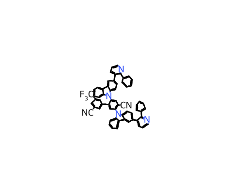 N#Cc1cc(-c2cc(-n3c4ccccc4c4cc(-c5cccnc5-c5ccccc5)ccc43)c(C#N)cc2-n2c3ccccc3c3cc(-c4cccnc4-c4ccccc4)ccc32)cc(C(F)(F)F)c1